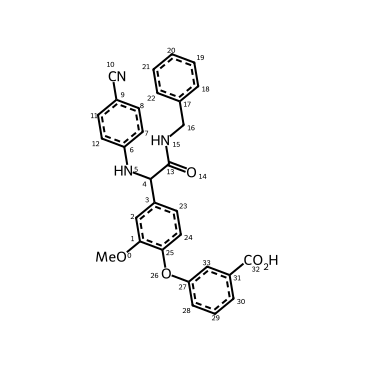 COc1cc(C(Nc2ccc(C#N)cc2)C(=O)NCc2ccccc2)ccc1Oc1cccc(C(=O)O)c1